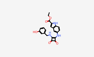 CCOC(=O)c1cc2cc(Nc3c(NCc4cccc(O)c4)c(=O)c3=O)ccc2[nH]1